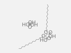 CCCCCCCCCCCCCCOC(C(=O)O)C(OCCCCCCCCCCCCCC)C(=O)O.O=P(O)(O)O